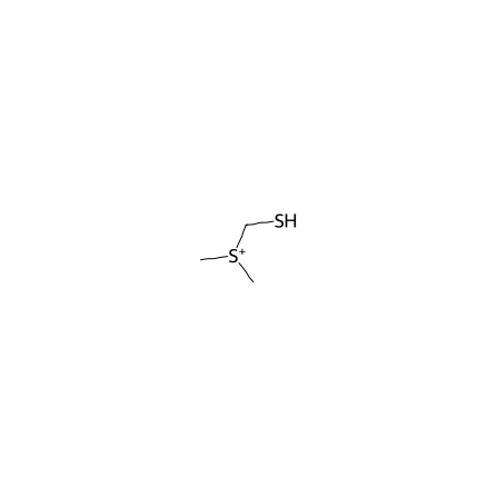 C[S+](C)CS